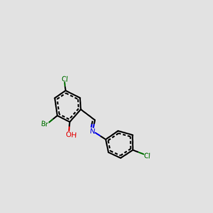 Oc1c(Br)cc(Cl)cc1/C=N/c1ccc(Cl)cc1